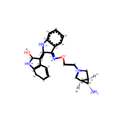 N[C@@H]1[C@H]2CN(CCO/N=C3/C(=C4\C5=C(CCC=C5)NC4O)Nc4ccccc43)C[C@@H]12